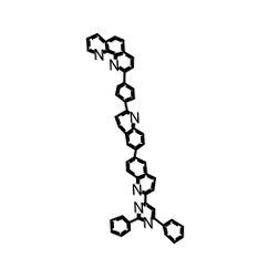 c1ccc(-c2cc(-c3ccc4cc(-c5ccc6nc(-c7ccc(-c8ccc9ccc%10cccnc%10c9n8)cc7)ccc6c5)ccc4n3)nc(-c3ccccc3)n2)cc1